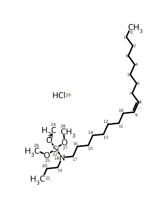 CCCCCCCC/C=C\CCCCCCCCN(CCC)[Si](OC)(OC)OC.Cl